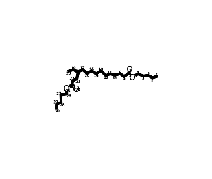 CCCCCOC(=O)CCCCCCCCCCC(CC)CCC(=O)OCCCCC